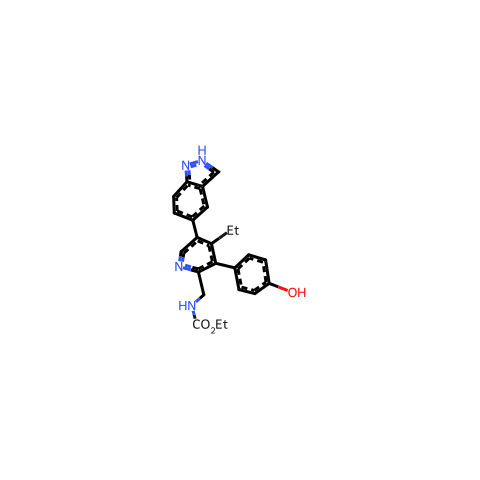 CCOC(=O)NCc1ncc(-c2ccc3n[nH]cc3c2)c(CC)c1-c1ccc(O)cc1